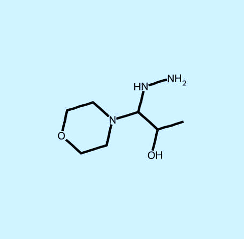 CC(O)C(NN)N1CCOCC1